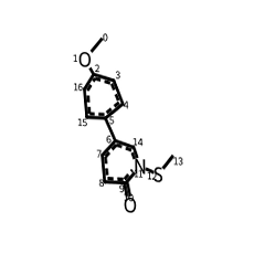 COc1ccc(-c2ccc(=O)n(SC)c2)cc1